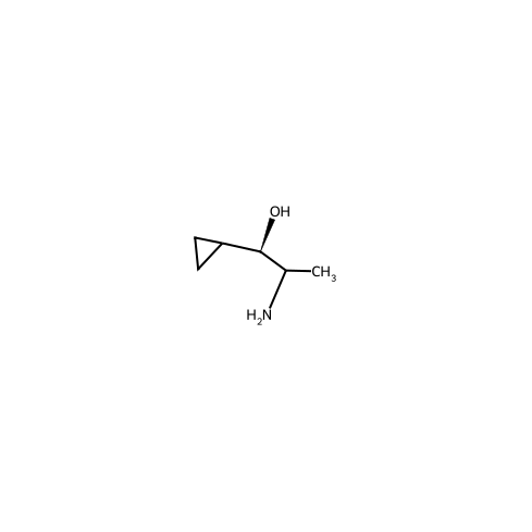 CC(N)[C@H](O)C1CC1